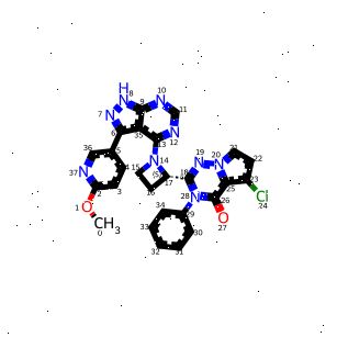 COc1ccc(-c2n[nH]c3ncnc(N4CC[C@H]4c4nn5ccc(Cl)c5c(=O)n4-c4ccccc4)c23)cn1